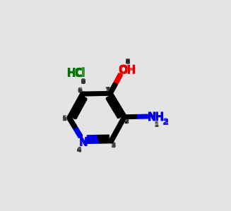 Cl.Nc1cnccc1O